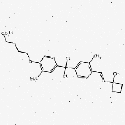 CCC(CC)(c1ccc(/C=C/C2(O)CCC2)c(C)c1)c1ccc(OCCCCC(=O)O)c(C)c1